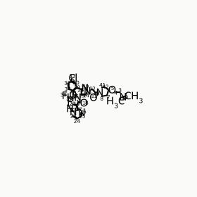 CN(C)CCOC1CCN(C(=O)Cn2cc(NC(=O)c3cnn4cccnc34)c(-c3cc(Cl)ccc3OC(F)F)n2)CC1